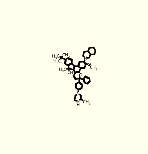 COc1cc2c3c(c4c(c2cc1N1CCC2CCCCC2C1)-c1ccc(C(C)(C)C)cc1C4(C)C)C=CC(c1ccccc1)(c1ccc(N2CCNC(C)C2)cc1)O3